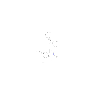 C=CC(/C(F)=C(\F)Cc1cccc(Oc2ccccc2)c1)c1ccc(Cl)cc1